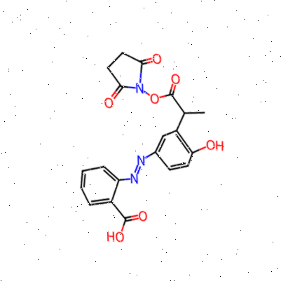 CC(C(=O)ON1C(=O)CCC1=O)c1cc(/N=N/c2ccccc2C(=O)O)ccc1O